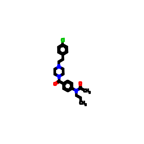 CCCN(C(C)=O)c1ccc(C(=O)N2CCN(CCc3ccc(Cl)cc3)CC2)cc1